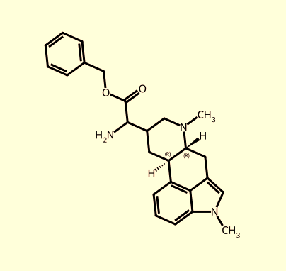 CN1CC(C(N)C(=O)OCc2ccccc2)C[C@@H]2c3cccc4c3c(cn4C)C[C@H]21